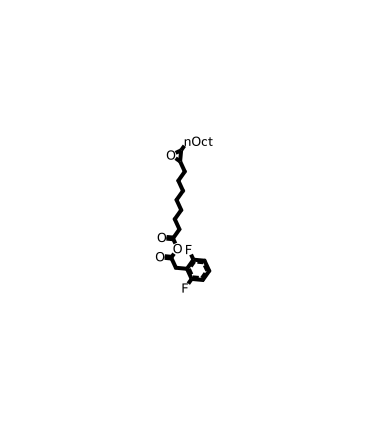 CCCCCCCCC1OC1CCCCCCCC(=O)OC(=O)Cc1c(F)cccc1F